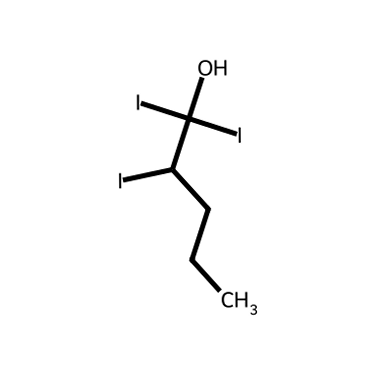 CCCC(I)C(O)(I)I